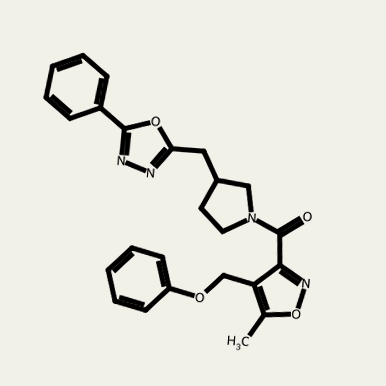 Cc1onc(C(=O)N2CCC(Cc3nnc(-c4ccccc4)o3)C2)c1COc1ccccc1